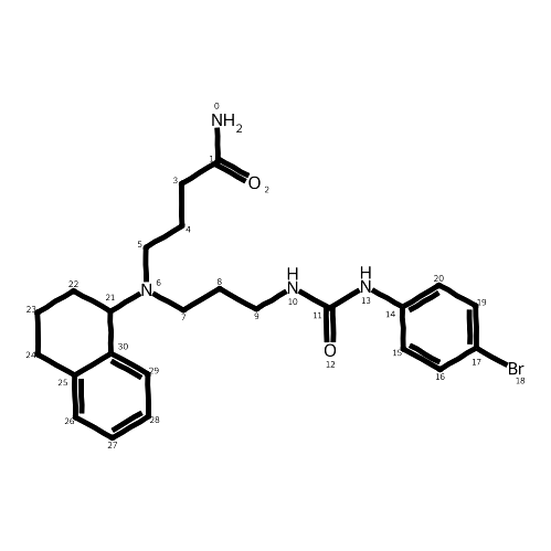 NC(=O)CCCN(CCCNC(=O)Nc1ccc(Br)cc1)C1CCCc2ccccc21